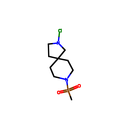 CS(=O)(=O)N1CCC2(CCN(Cl)C2)CC1